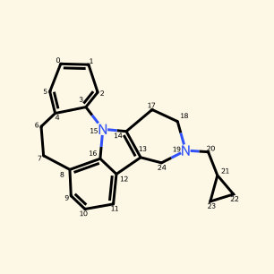 c1ccc2c(c1)CCc1cccc3c4c(n-2c13)CCN(CC1CC1)C4